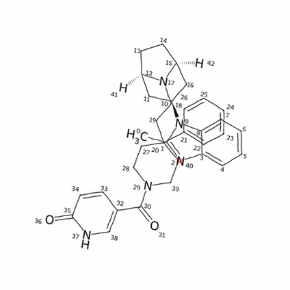 Cc1nc2ccccc2n1[C@H]1C[C@H]2CC[C@@H](C1)N2CCC1(c2ccccc2)CCN(C(=O)c2ccc(=O)[nH]c2)CC1